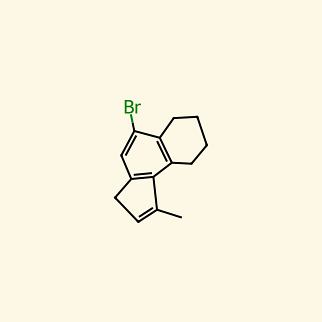 CC1=CCc2cc(Br)c3c(c21)CCCC3